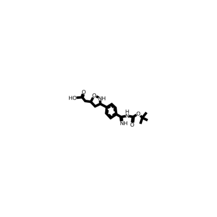 CC(C)(C)OC(=O)NC(=N)c1ccc(C2CC(CC(=O)O)ON2)cc1